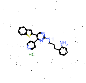 Cl.Nc1ccccc1CCCNc1ncc(-c2cc3ccccc3s2)c(-c2ccncc2)n1